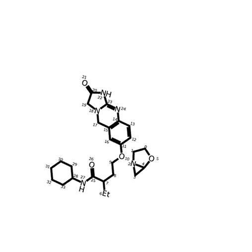 C1CN2CC2O1.CCC(CCOc1ccc2c(c1)CN1CC(=O)NC1=N2)C(=O)NC1CCCCC1